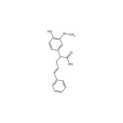 COc1cc(C(CC=Cc2ccccc2)C(=O)O)ccc1O